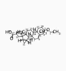 CCOC1=CC2=CC[C@H]3[C@@H]4[C@@H]5C[C@@H]5[C@@](O)(CCC(=O)O)[C@@]4(C)CC[C@@H]3[C@@]2(C)CC1